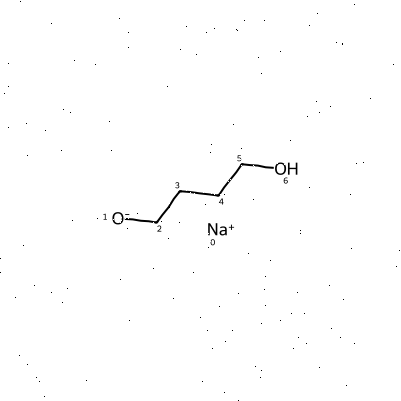 [Na+].[O-]CCCCO